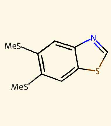 CSc1cc2ncsc2cc1SC